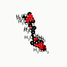 CC(C)(C)c1cc(-c2cccc3cccc(-c4ccccc4N(c4cccc(-c5cccc6c5C(C)(C)c5cc(CC(C)(C)c7cc(-c8cccc9cccc(-c%10ccccc%10N(c%10ccccc%10-c%10cccc%11c%10-c%10ccccc%10C%11(C)C)c%10ccccc%10-c%10cccc%11c%10ccc%10ccccc%10%11)c89)cc(C(C)(C)C)c7)ccc5-6)c4)c4ccccc4-c4cccc5c4ccc4ccccc45)c23)cc(C(C)(C)C)c1